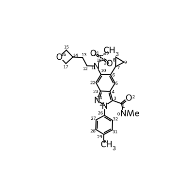 CNC(=O)c1c2cc(C3CC3)c(N(CCC3COC3)S(C)(=O)=O)cc2nn1-c1ccc(C)cc1